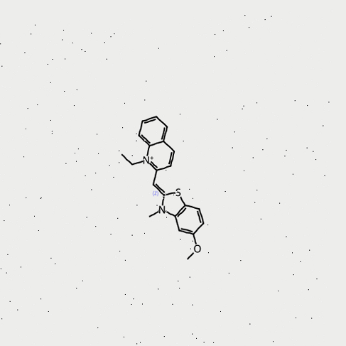 CC[n+]1c(/C=C2\Sc3ccc(OC)cc3N2C)ccc2ccccc21